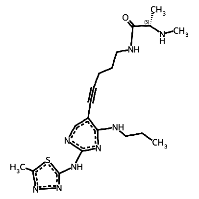 CCCNc1nc(Nc2nnc(C)s2)ncc1C#CCCCNC(=O)[C@H](C)NC